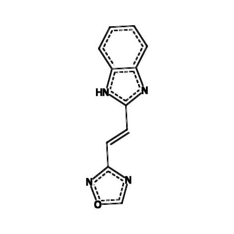 C(=Cc1nc2ccccc2[nH]1)c1ncon1